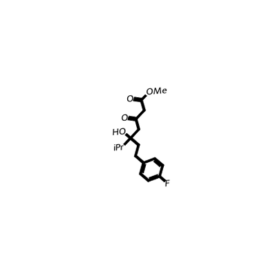 COC(=O)CC(=O)CC(O)(CCc1ccc(F)cc1)C(C)C